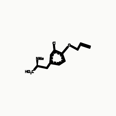 C=CCOc1ccc(C[C@H](NC)C(=O)O)cc1Cl